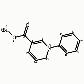 CC(C)(C)OC(=O)C1=CN(c2ccccc2)CC=C1